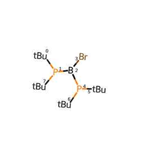 CC(C)(C)P(B(Br)P(C(C)(C)C)C(C)(C)C)C(C)(C)C